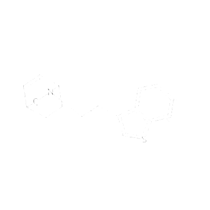 C1=CC2CCC1CN2CCc1csc2ccccc12